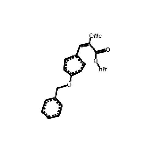 CCCOC(=O)C(=Cc1ccc(OCc2ccccc2)cc1)OC